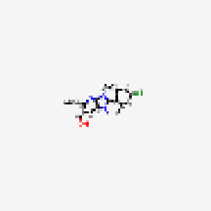 COc1cc(Cl)cc(C)c1-c1nc2nc(OC)c(CO)cc2n1C